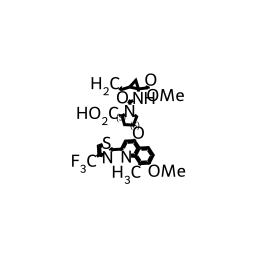 C=CC1CC1(NC(=O)N1C[C@@H](Oc2cc(-c3nc(C(F)(F)F)cs3)nc3c(C)c(OC)ccc23)C[C@H]1C(=O)O)C(=O)OC